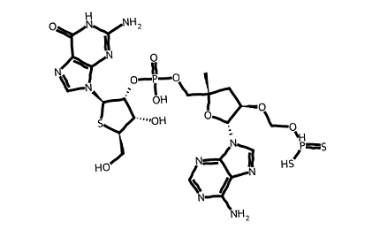 C[C@@]1(COP(=O)(O)O[C@@H]2[C@H](O)[C@@H](CO)S[C@H]2n2cnc3c(=O)[nH]c(N)nc32)C[C@@H](OCO[PH](=S)S)[C@H](n2cnc3c(N)ncnc32)O1